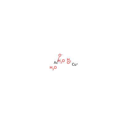 CC(=O)[O-].O.O.O.[Cu+]